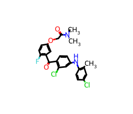 Cc1cc(Cl)ccc1Nc1ccc(C(=O)c2cc(OCC(=O)N(C)C)ccc2F)c(Cl)c1